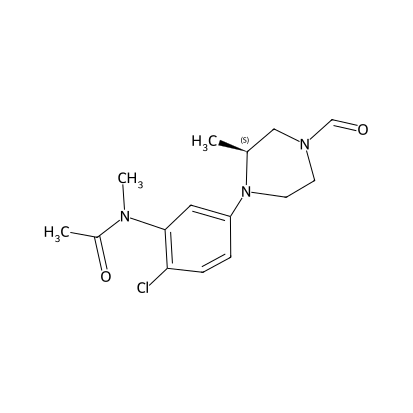 CC(=O)N(C)c1cc(N2CCN(C=O)C[C@@H]2C)ccc1Cl